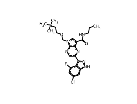 CCCNC(=O)c1cn(COCC[Si](C)(C)C)c2ncc(-c3n[nH]c4cc(Cl)cc(F)c34)nc12